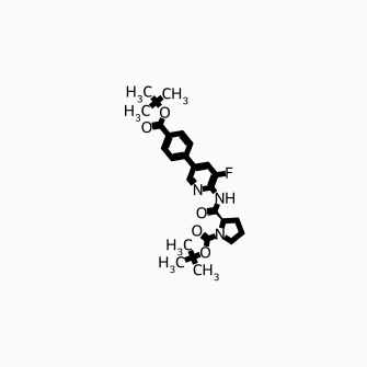 CC(C)(C)OC(=O)c1ccc(-c2cnc(NC(=O)[C@H]3CCCN3C(=O)OC(C)(C)C)c(F)c2)cc1